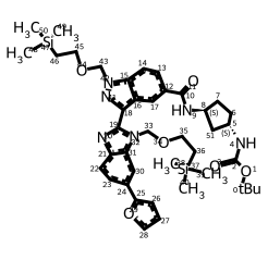 CC(C)(C)OC(=O)N[C@H]1CC[C@H](NC(=O)c2ccc3c(c2)c(-c2nc4ccc(-c5ccco5)cc4n2COCC[Si](C)(C)C)nn3COCC[Si](C)(C)C)C1